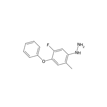 Cc1cc(Oc2ccccc2)c(F)cc1NN